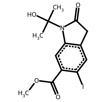 COC(=O)c1cc2c(cc1I)CC(=O)N2C(C)(C)O